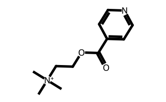 C[N+](C)(C)CCOC(=O)c1ccncc1